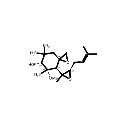 BC1(B)C[C@]2(CO2)[C@@H](C2(C)O[C@@H]2CC=C(C)C)[C@](B)(OC)[C@@H]1O